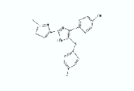 Cc1ccc(Sc2[nH]c(-c3csc(C)n3)nc2-c2ccc(C#N)cc2)cc1